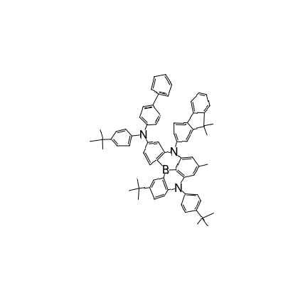 Cc1cc2c3c(c1)N(c1ccc4c(c1)C(C)(C)c1ccccc1-4)c1cc(N(c4ccc(-c5ccccc5)cc4)c4ccc(C(C)(C)C)cc4)ccc1B3c1cc(C(C)(C)C)ccc1N2c1ccc(C(C)(C)C)cc1